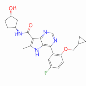 Cc1[nH]c2c(-c3cc(F)ccc3OCC3CC3)ncnc2c1C(=O)N[C@H]1CC[C@@H](O)C1